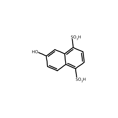 O=S(=O)(O)c1ccc(S(=O)(=O)O)c2cc(O)ccc12